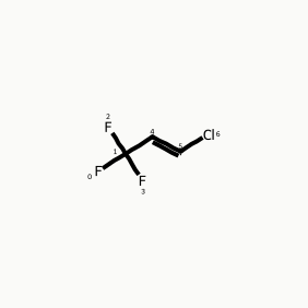 FC(F)(F)/C=[C]/Cl